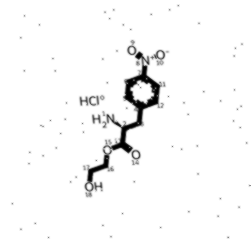 Cl.N[C@@H](Cc1ccc([N+](=O)[O-])cc1)C(=O)OCCO